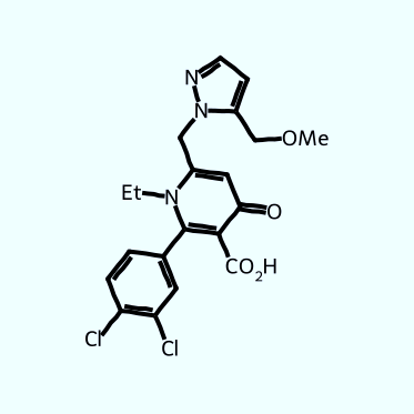 CCn1c(Cn2nccc2COC)cc(=O)c(C(=O)O)c1-c1ccc(Cl)c(Cl)c1